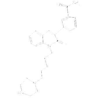 N=C(N)c1cccc(-c2cc3ccccc3n(CCCCCN3CCNCC3)c2=O)c1